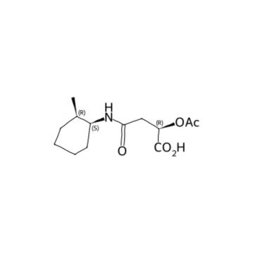 CC(=O)O[C@H](CC(=O)N[C@H]1CCCC[C@H]1C)C(=O)O